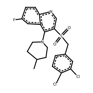 CC1CCN(c2c(S(=O)(=O)Cc3ccc(Cl)c(Cl)c3)cnc3ccc(F)cc23)CC1